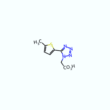 Cc1ccc(-c2nnnn2CC(=O)O)s1